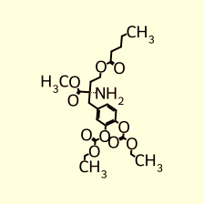 CCCCC(=O)OCC[C@@](N)(Cc1ccc(OC(=O)OCC)c(OC(=O)OCC)c1)C(=O)OC